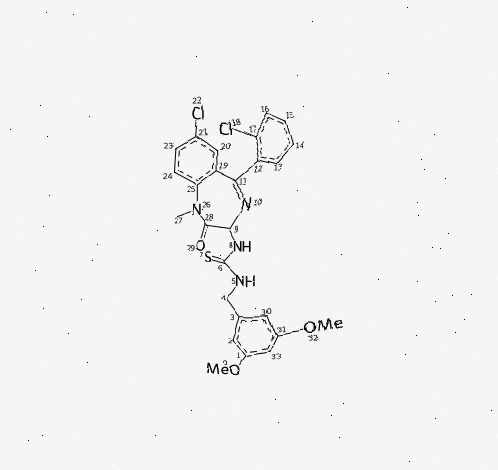 COc1cc(CNC(=S)NC2N=C(c3ccccc3Cl)c3cc(Cl)ccc3N(C)C2=O)cc(OC)c1